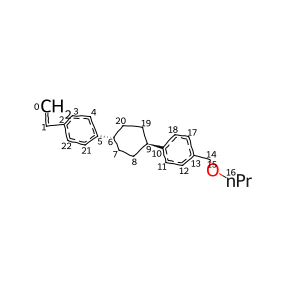 C=Cc1ccc([C@H]2CC[C@H](c3ccc(COCCC)cc3)CC2)cc1